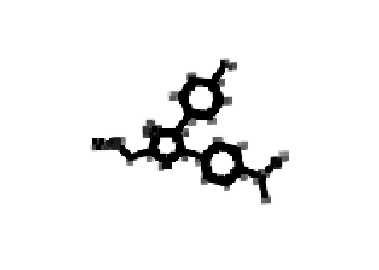 COCc1nc(-c2ccc([S+](C)[O-])cc2)c(-c2ccc(F)cc2)[nH]1